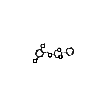 Clc1ccc(Cl)c(CO[C@H]2CO[C@@H](c3ccccc3)OC2)c1